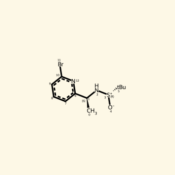 C[C@H](N[S@@+]([O-])C(C)(C)C)c1cccc(Br)n1